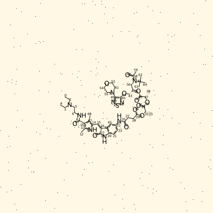 CCN(CC)CCNC(=O)c1c(C)[nH]c(/C=C2\C(=O)Nc3ccc(NC(=O)CCC(=O)O[C@@H](C)C(=O)O[C@@H](C)C(=O)O[C@H](COc4nsnc4N4CCOCC4)CN(C(C)=O)C(C)(C)C)cc32)c1C